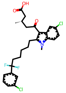 C[C@H](CC(=O)O)CC(=O)c1c(CCCCCC(F)(F)c2cccc(Cl)c2)n(C)c2ccc(Cl)cc12